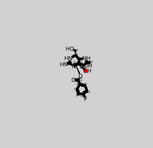 C=C1NC2[C@H](CO)NC(=N)N3C[C@H](OC(=O)c4ccc(F)cc4)[C@](C)(O)C23N1O